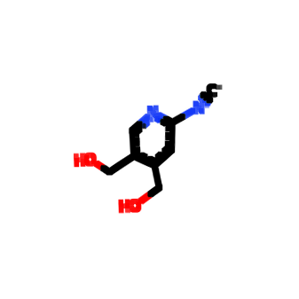 [C-]#[N+]c1cc(CO)c(CO)cn1